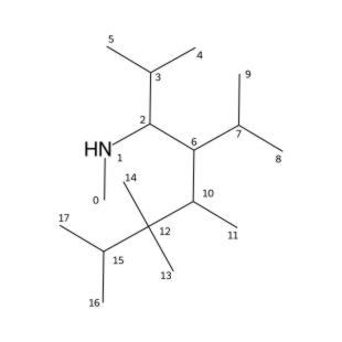 CNC(C(C)C)C(C(C)C)C(C)C(C)(C)C(C)C